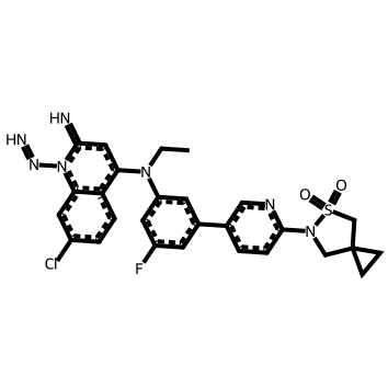 CCN(c1cc(F)cc(-c2ccc(N3CC4(CC4)CS3(=O)=O)nc2)c1)c1cc(=N)n(N=N)c2cc(Cl)ccc12